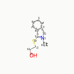 CCn1cc2ccccc2c1SCCO